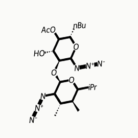 CCCC[C@@H]1OC(N=[N+]=[N-])[C@@H](O[C@H]2OC(C(C)C)[C@@H](C)[C@H](C)C2N=[N+]=[N-])[C@H](O)C1OC(C)=O